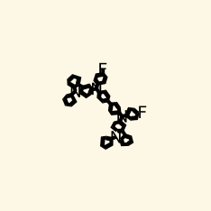 Fc1ccc(N(C2=Cc3c(n(-c4ccccc4)c4ccccc34)CC2)c2ccc(-c3ccc(N(c4ccc(F)cc4)c4ccc5c(c4)c4ccccc4n5-c4ccccc4)cc3)cc2)cc1